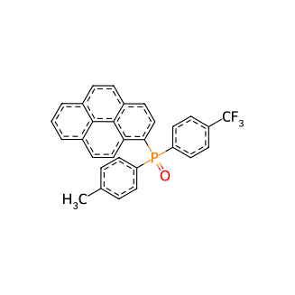 Cc1ccc(P(=O)(c2ccc(C(F)(F)F)cc2)c2ccc3ccc4cccc5ccc2c3c45)cc1